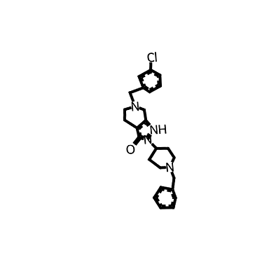 O=c1c2c([nH]n1C1CCN(Cc3ccccc3)CC1)CN(Cc1cccc(Cl)c1)CC2